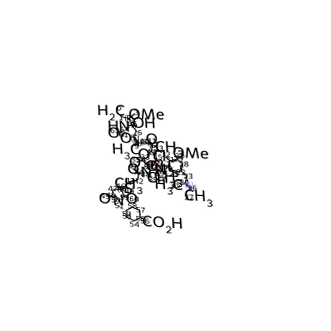 C=C[C@@H](OC)[C@@]1(O)C[C@@H]([C@@H](C)[C@@H]2O[C@@]2(C)[C@H](CC(=O)N(C)c2cc(C/C(C)=C/C)cc(OC)c2Cl)OC(=O)[C@H](C)N(C)C(=O)CCS[C@@]2(C)CC(=O)N(C[C@H]3CC[C@H](C(=O)O)CC3)C2=O)OC(=O)N1